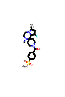 CNS(=O)(=O)c1ccc(C(=O)N2CCC3(CC2)c2c(F)cc(C(F)(F)F)n2CCN3C)cc1